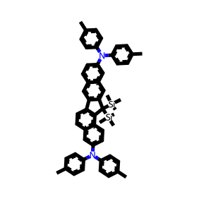 Cc1ccc(N(c2ccc(C)cc2)c2ccc3cc4c(cc3c2)C([Si](C)(C)C)([Si](C)(C)C)c2c-4ccc3cc(N(c4ccc(C)cc4)c4ccc(C)cc4)ccc23)cc1